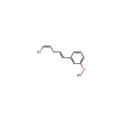 CC/C=C\C/C=C/c1cccc(OC(C)C)c1